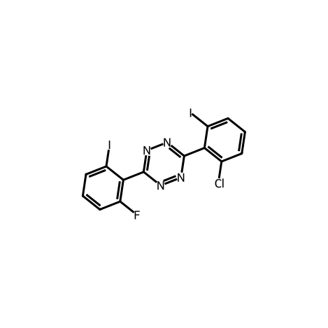 Fc1cccc(I)c1-c1nnc(-c2c(Cl)cccc2I)nn1